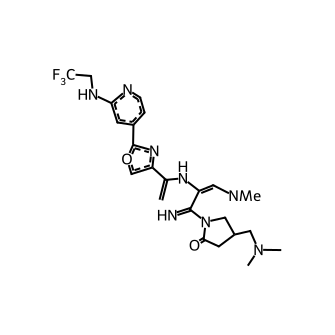 C=C(N/C(=C/NC)C(=N)N1CC(CN(C)C)CC1=O)c1coc(-c2ccnc(NCC(F)(F)F)c2)n1